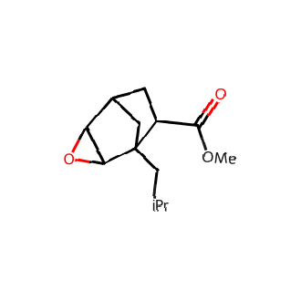 COC(=O)C1CC2CC1(CC(C)C)C1OC21